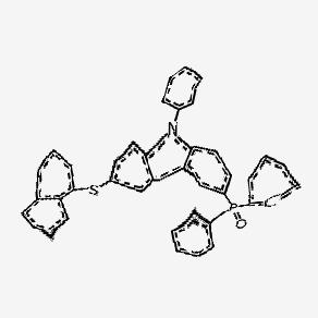 O=P(c1ccccc1)(c1ccccc1)c1ccc2c(c1)c1cc(Sc3cccc4ccccc34)ccc1n2-c1ccccc1